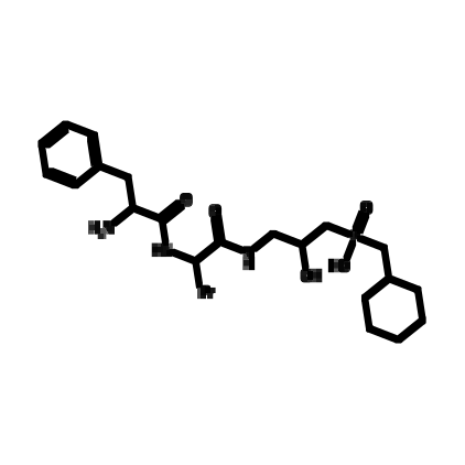 CC(C)C(NC(=O)C(N)Cc1ccccc1)C(=O)NCC(O)CP(=O)(O)CC1CCCCC1